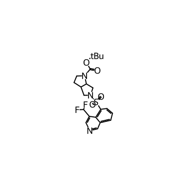 CC(C)(C)OC(=O)N1CCC2CN(S(=O)(=O)c3cccc4cncc(C(F)F)c34)CC21